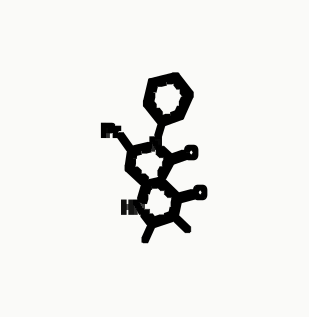 Cc1[nH]c2cc(C(C)C)n(-c3ccccc3)c(=O)c2c(=O)c1C